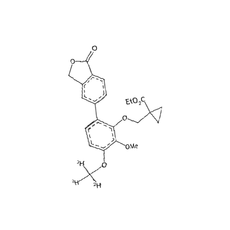 [2H]C([2H])([2H])Oc1ccc(-c2ccc3c(c2)COC3=O)c(OCC2(C(=O)OCC)CC2)c1OC